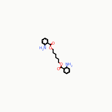 Nc1ccccc1C(=O)OCCCCCCOC(=O)c1ccccc1N